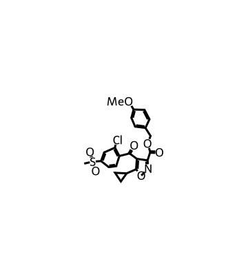 COc1ccc(COC(=O)c2noc(C3CC3)c2C(=O)c2ccc(S(C)(=O)=O)cc2Cl)cc1